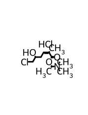 CC(=CCC(O)CCl)C(=O)OC(C)N(C)C.Cl